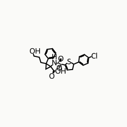 O=C(O)C1(NS(=O)(=O)C2=CCC(c3ccc(Cl)cc3)S2)CC1(CCCO)c1ccccc1